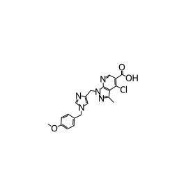 COc1ccc(Cn2cnc(Cn3nc(C)c4c(Cl)c(C(=O)O)cnc43)c2)cc1